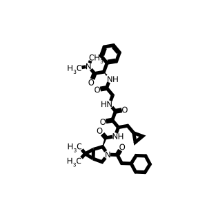 CN(C)C(=O)[C@@H](NC(=O)CNC(=O)C(=O)C(CC1CC1)NC(=O)[C@@H]1C2C(CN1C(=O)CC1CCCCC1)C2(C)C)c1ccccc1